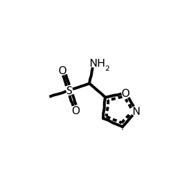 CS(=O)(=O)C(N)c1c[c]no1